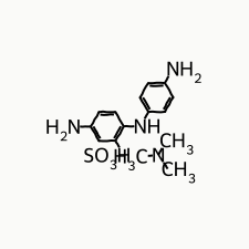 CN(C)C.Nc1ccc(Nc2ccc(N)cc2S(=O)(=O)O)cc1